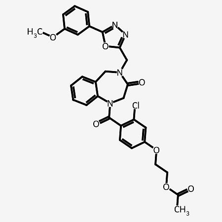 COc1cccc(-c2nnc(CN3Cc4ccccc4N(C(=O)c4ccc(OCCOC(C)=O)cc4Cl)CC3=O)o2)c1